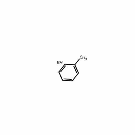 Cc1c[c]ccc1.[KH]